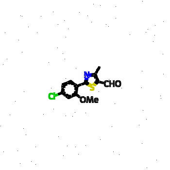 COc1cc(Cl)ccc1-c1nc(C)c(C=O)s1